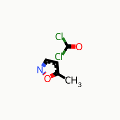 Cc1ccno1.O=C(Cl)Cl